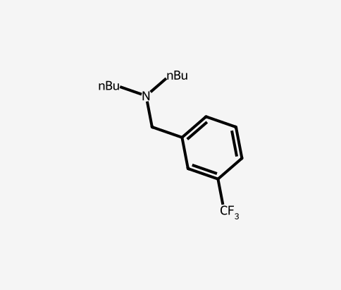 CCCCN(CCCC)Cc1cccc(C(F)(F)F)c1